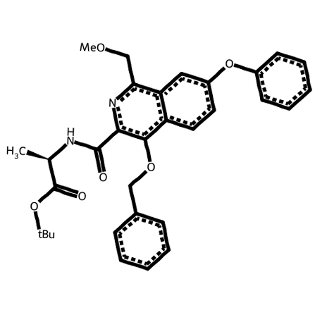 COCc1nc(C(=O)N[C@H](C)C(=O)OC(C)(C)C)c(OCc2ccccc2)c2ccc(Oc3ccccc3)cc12